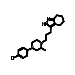 CC1CN(c2ccc(Cl)cc2)CCN1CCCc1[nH]nc2c1CCCC2